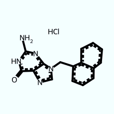 Cl.Nc1nc2c(ncn2Cc2cccc3ccccc23)c(=O)[nH]1